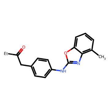 CCC(=O)Cc1ccc(Nc2nc3c(C)cccc3o2)cc1